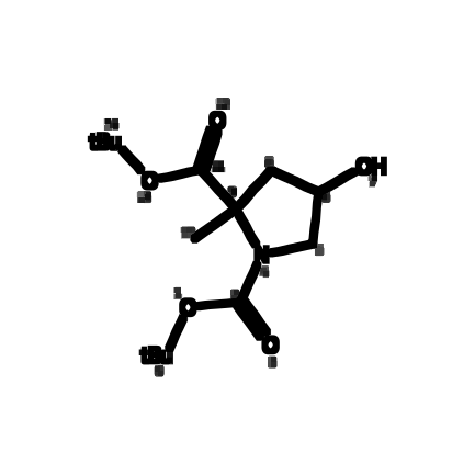 CC(C)(C)OC(=O)N1CC(O)CC1(C)C(=O)OC(C)(C)C